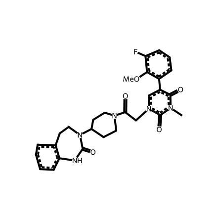 COc1c(F)cccc1-c1cn(CC(=O)N2CCC(N3CCc4ccccc4NC3=O)CC2)c(=O)n(C)c1=O